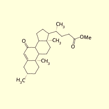 COC(=O)CC[C@@H](C)C1CCC2C3C(=O)C=C4C[C@@H](C)CC[C@]4(C)C3CC[C@@]21C